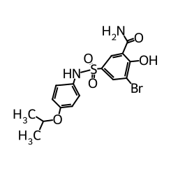 CC(C)Oc1ccc(NS(=O)(=O)c2cc(Br)c(O)c(C(N)=O)c2)cc1